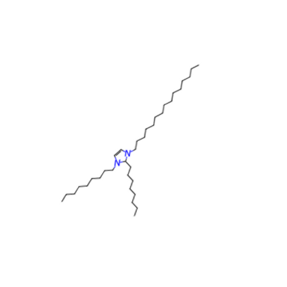 CCCCCCCCCCCCCCCN1C=CN(CCCCCCCCC)C1CCCCCCCC